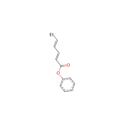 CC/C=C/C=C/C(=O)Oc1cc[c]cc1